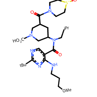 COCCCNc1nc(C(C)(C)C)ncc1C(=O)N(CC(C)C)C1CC(C(=O)N2CC[S+]([O-])CC2)CN(C(=O)O)C1